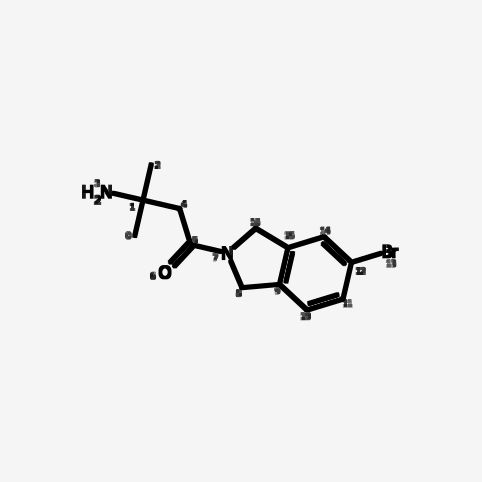 CC(C)(N)CC(=O)N1Cc2ccc(Br)cc2C1